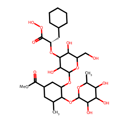 COC(=O)C1CC(C)C(OC2OC(C)C(O)C(O)C2O)C(OC2OC(CO)C(O)C(O[C@@H](CC3CCCCC3)C(=O)OO)C2O)C1